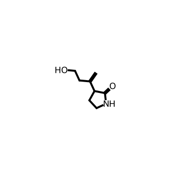 C=C(CCO)C1CCNC1=O